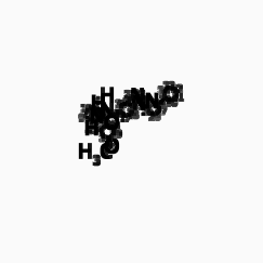 COc1ccc(CN2[C@H]3CC[C@@H]2[C@H](NC(=O)c2ccc4c(cnn4-c4cccc(-c5ccccc5)n4)c2)C3)cc1